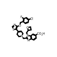 O=C(O)c1ccc2nc(CN3CC=C(c4scnc4OCc4ccc(Cl)cc4F)CC3)n(CC3CCO3)c2c1